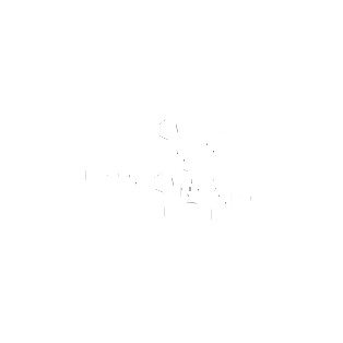 CCCCN(CCCC)C(=O)c1nn(-c2cc3c(cc2C(=O)N2Cc4ccccc4C[C@H]2CN2CCOCC2)CN(C(=O)O)CC3)c(C)c1Cl